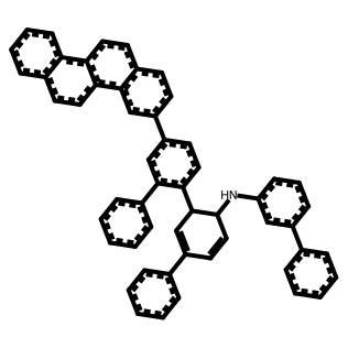 C1=CC(Nc2cccc(-c3ccccc3)c2)C(c2ccc(-c3ccc4ccc5c6ccccc6ccc5c4c3)cc2-c2ccccc2)C=C1c1ccccc1